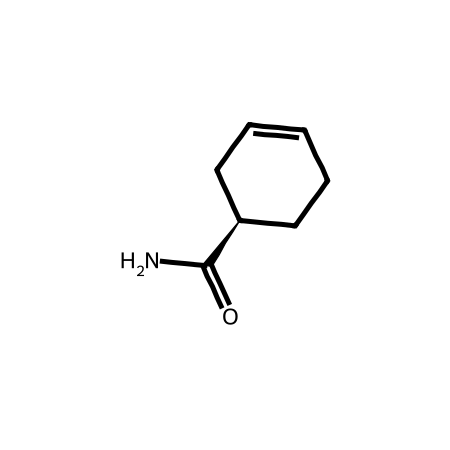 NC(=O)[C@H]1CC=CCC1